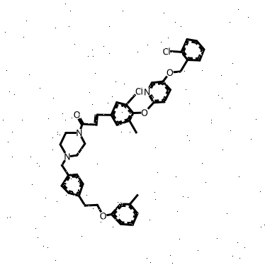 Cc1cccc(OCCc2ccc(CN3CCN(C(=O)C=Cc4cc(C)c(Oc5ccc(OCc6ccccc6Cl)cn5)c(Cl)c4)CC3)cc2)c1